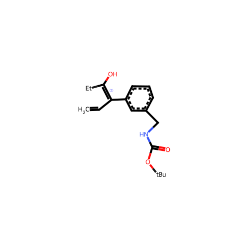 C=C/C(=C(/O)CC)c1cccc(CNC(=O)OC(C)(C)C)c1